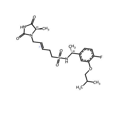 CC(C)COc1cc([C@@H](C)NS(=O)(=O)CC/C=C/CN2C(=O)NC(=O)[C@H]2C)ccc1F